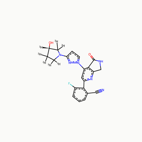 [2H]C1([2H])N(c2ccn(-c3cc(-c4c(F)cccc4C#N)nc4c3C(=O)NC4)n2)C([2H])([2H])[C@@]([2H])(O)C1([2H])[2H]